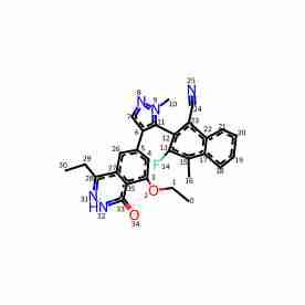 CCOc1cc(-c2cnn(C)c2-c2c(F)c(C)c3ccccc3c2C#N)cc2c(CC)n[nH]c(=O)c12